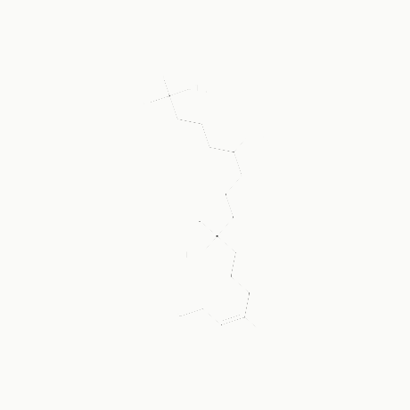 CC(=CCCl)CCCC(C)(Cl)CCCC(C)CCCC(C)(C)Cl